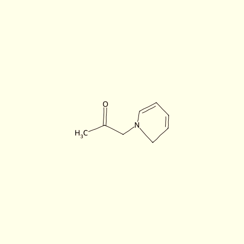 CC(=O)CN1C=CC=CC1